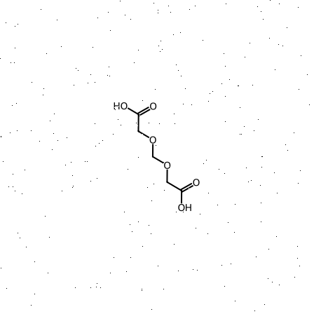 O=C(O)COCOCC(=O)O